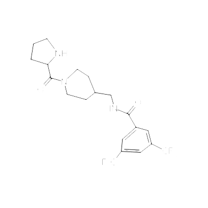 O=C(NCC1CCN(C(=O)C2CCCN2)CC1)c1cc(C(F)(F)F)cc(C(F)(F)F)c1